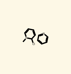 CN1C=CC=CC1Cl.c1ccncc1